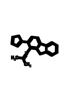 C[C](C)=[Zr][c]1c(C2=CC=CC2)ccc2c1Cc1ccccc1-2